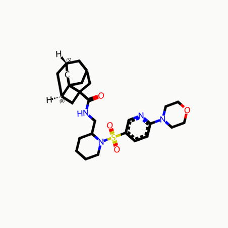 O=C(NCC1CCCCN1S(=O)(=O)c1ccc(N2CCOCC2)nc1)C12CC3C[C@H]4C[C@H](C1)C2(C3)C4